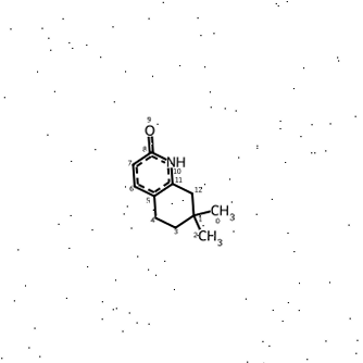 CC1(C)CCc2ccc(=O)[nH]c2C1